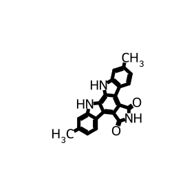 Cc1ccc2c(c1)[nH]c1c3[nH]c4cc(C)ccc4c3c3c(c21)C(=O)NC3=O